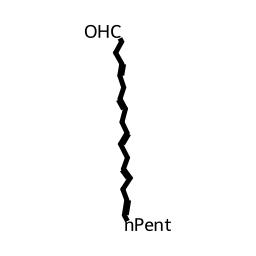 CCCCCC=CCC=CCC=CCC=CCC=CCCC=O